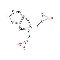 [c]1c(CC2CO2)c(CC2CO2)cc2ccccc12